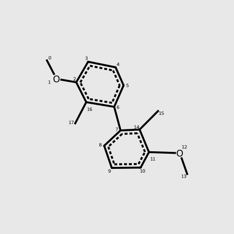 COc1cccc(-c2cccc(OC)c2C)c1C